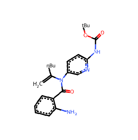 C=C(CCCC)N(C(=O)c1ccccc1N)c1ccc(NC(=O)OC(C)(C)C)nc1